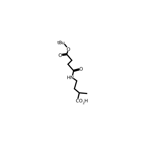 CC(CCNC(=O)CCC(=O)OC(C)(C)C)C(=O)O